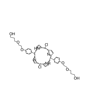 OCCCOCCOc1ccc(-c2c3nc(c(Cl)c4ccc([nH]4)c(-c4ccc(OCCOCCCO)cc4)c4nc(c(Cl)c5ccc2[nH]5)C=C4)C=C3)cc1